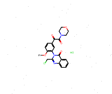 CC(C)Oc1ccc(C(=O)C(=O)N2CCOCC2)cc1-n1c(CCl)nc2ccccc2c1=O.Cl